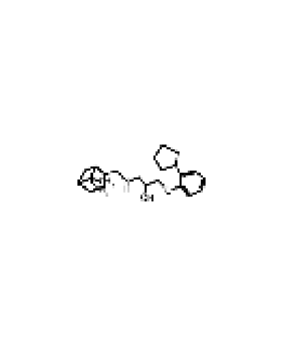 CC1(C)C2CCC(CNCC(O)COc3ccccc3C3CCCC3)C1C2